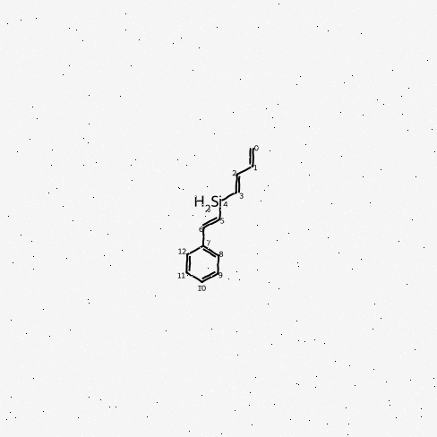 C=CC=C[SiH2]C=Cc1ccccc1